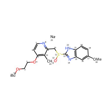 CCC(C)OCCOc1ccnc(C[S+]([O-])c2nc3cc(OC)ccc3[nH]2)c1C.[Na]